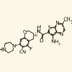 Cc1cnc2c(N)c(C(=O)N[C@H]3COc4cc(N5CCNCC5)c(C#N)c(F)c4C3)sc2n1